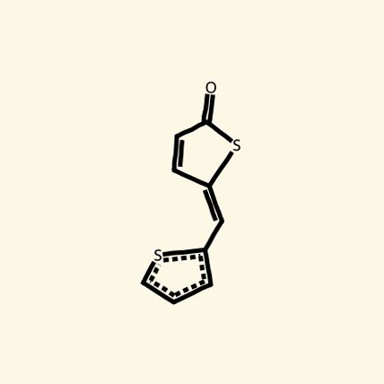 O=C1C=CC(=Cc2cccs2)S1